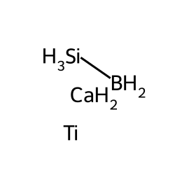 B[SiH3].[CaH2].[Ti]